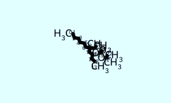 CCCCCCCC(C)(CCCCC)C(C)OC(=O)OC(C)C